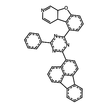 C1=CC2c3c(cccc3-c3nc(-c4ccccc4)nc(-c4ccc5c6c(cccc46)-c4ccccc4-5)n3)OC2C=N1